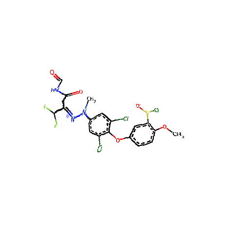 COc1ccc(Oc2c(Cl)cc(N(C)/N=C(\C(=O)NC=O)C(F)F)cc2Cl)cc1[S+]([O-])Cl